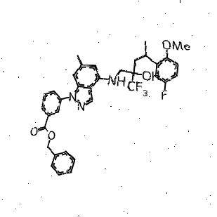 COc1ccc(F)cc1C(C)CC(O)(CNc1cc(C)cc2c1cnn2-c1cccc(C(=O)OCc2ccccc2)c1)C(F)(F)F